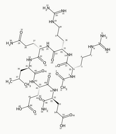 CC(=O)N[C@@H](CCCNC(=N)N)C(=O)N[C@@H](CCCNC(=N)N)C(=O)N[C@@H](CCC(N)=O)C(=O)N[C@H](CC(C)C)C(=O)N[C@@H](CCC(=O)O)C(=O)N[C@@H](CCC(=O)O)C(N)=O